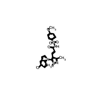 COc1ccc(S(=O)(=O)NC(=O)/C=C/c2c(C)nn(C)c2-n2ccc3cc(Cl)ccc32)cc1